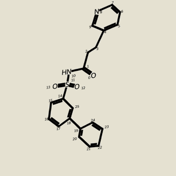 O=C(CCc1cccnc1)NS(=O)(=O)c1cccc(-c2ccccc2)c1